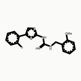 COc1ccccc1CNC(=N)Nc1nc(-c2ccccc2F)cs1